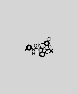 Cc1cccc(NC(=O)NC2=C(C3=CC=CCC3=O)N(CC(=O)C(C)(C)C)c3ccc(Cl)cc3C=N2)c1